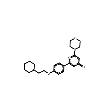 O=c1cc(-c2ccc(OCCN3CCCCC3)cc2)oc(N2CCOCC2)c1